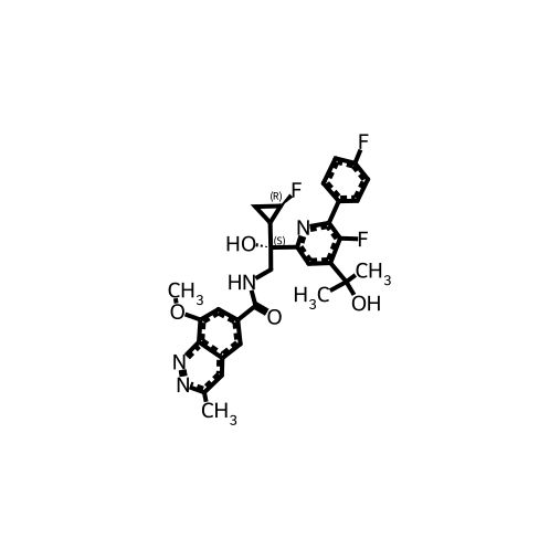 COc1cc(C(=O)NC[C@](O)(c2cc(C(C)(C)O)c(F)c(-c3ccc(F)cc3)n2)C2C[C@H]2F)cc2cc(C)nnc12